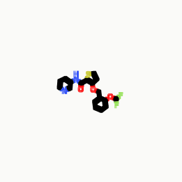 O=C(Nc1cccnc1)c1sccc1OCc1ccccc1OC(F)F